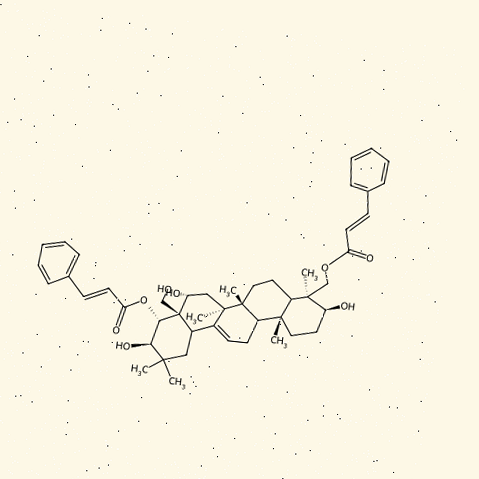 CC1(C)CC2C3=CCC4[C@@]5(C)CC[C@H](O)[C@](C)(COC(=O)/C=C/c6ccccc6)C5CC[C@@]4(C)[C@]3(C)C[C@@H](O)[C@@]2(CO)[C@@H](OC(=O)/C=C/c2ccccc2)[C@@H]1O